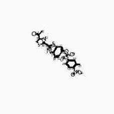 CC(=O)C1CSC(c2nc3ccc(OS(=O)(=O)c4ccc([N+](=O)[O-])c(C)c4)cc3s2)=N1